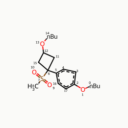 CCCCOc1ccc(C2(S(C)(=O)=O)CC(OCCCC)C2)cc1